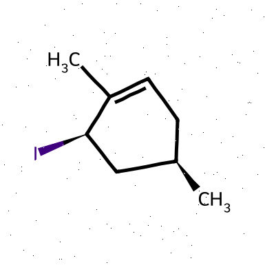 CC1=CC[C@@H](C)C[C@H]1I